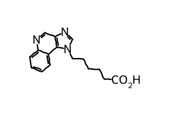 O=C(O)CCCCCn1cnc2cnc3ccccc3c21